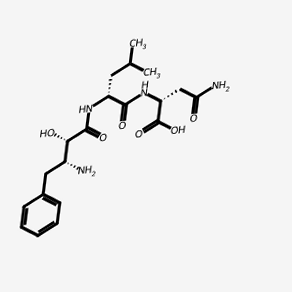 CC(C)C[C@@H](NC(=O)[C@@H](O)[C@H](N)Cc1ccccc1)C(=O)N[C@H](CC(N)=O)C(=O)O